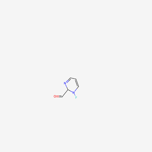 O=CC1N=CC=CN1F